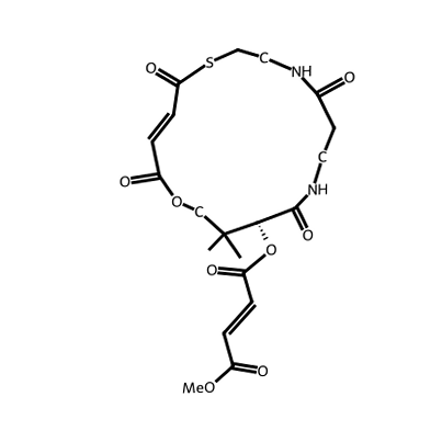 COC(=O)/C=C/C(=O)O[C@H]1C(=O)NCCC(=O)NCCSC(=O)/C=C/C(=O)OCC1(C)C